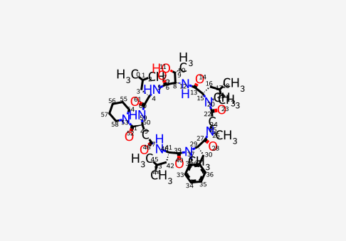 CC(C)C[C@@H]1NC(=O)[C@H]([C@@H](C)O)NC(=O)[C@H](CC(C)C)N(C)C(=O)CN(C)C(=O)[C@H](Cc2ccccc2)N(C)C(=O)[C@H](CC(C)C)NC(=O)C[C@@H](C(=O)N2CCCCC2)NC1=O